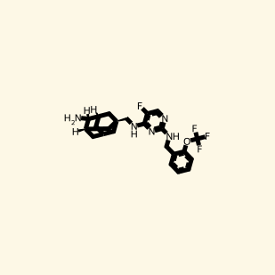 N[C@@H]1[C@@H]2CC3C[C@H]1C[C@@](CNc1nc(NCc4ccccc4OC(F)(F)F)ncc1F)(C3)C2